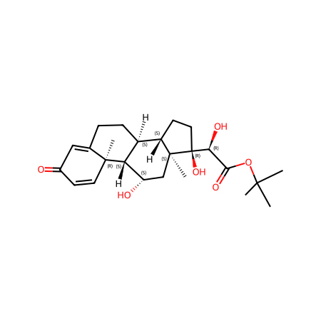 CC(C)(C)OC(=O)[C@H](O)[C@@]1(O)CC[C@H]2[C@@H]3CCC4=CC(=O)C=C[C@]4(C)[C@H]3[C@@H](O)C[C@@]21C